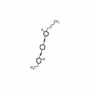 CCCCCc1ccc(C#Cc2ccc(C#Cc3ccc(CC)cc3F)cc2)cc1F